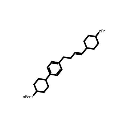 CCCCCC1CCC(c2ccc(CCC=CC3CCC(CCC)CC3)cc2)CC1